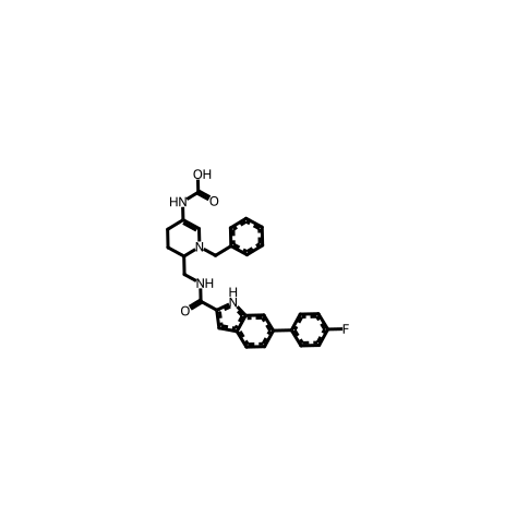 O=C(O)NC1=CN(Cc2ccccc2)C(CNC(=O)c2cc3ccc(-c4ccc(F)cc4)cc3[nH]2)CC1